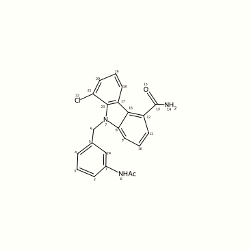 CC(=O)Nc1cccc(Cn2c3cccc(C(N)=O)c3c3[c]ccc(Cl)c32)c1